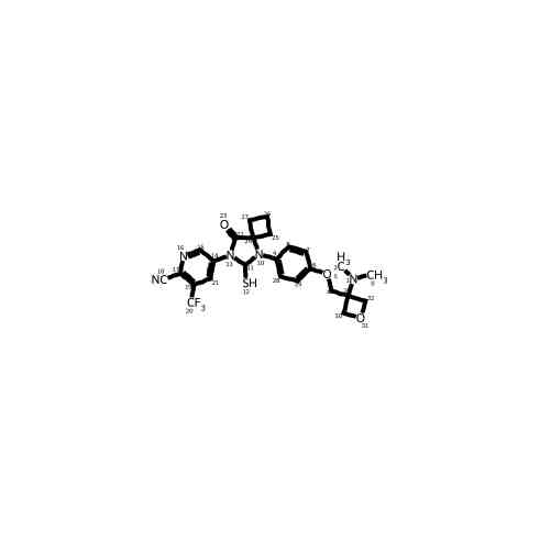 CN(C)C1(COc2ccc(N3C(S)N(c4cnc(C#N)c(C(F)(F)F)c4)C(=O)C34CCC4)cc2)COC1